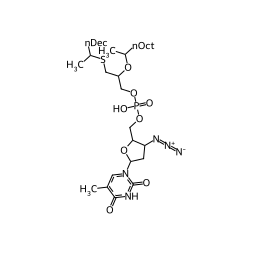 CCCCCCCCCCC(C)SCC(COP(=O)(O)OCC1OC(n2cc(C)c(=O)[nH]c2=O)CC1N=[N+]=[N-])OC(C)CCCCCCCC